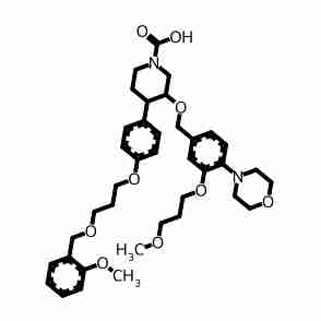 COCCCOc1cc(COC2CN(C(=O)O)CCC2c2ccc(OCCCOCc3ccccc3OC)cc2)ccc1N1CCOCC1